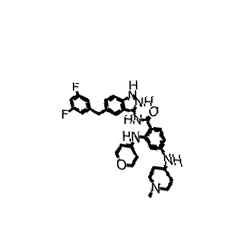 CN1CCC(Nc2ccc(C(=O)NC3NNc4ccc(Cc5cc(F)cc(F)c5)cc43)c(NC3CCOCC3)c2)CC1